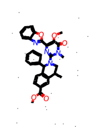 COC(=O)c1ccc2c(c1)C(C)CN(c1nc(-c3nc4ccccc4o3)c(OC)c(=O)n1C)C2c1ccccc1